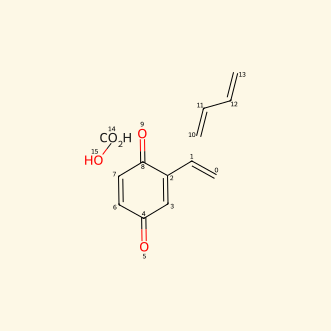 C=CC1=CC(=O)C=CC1=O.C=CC=C.O=C(O)O